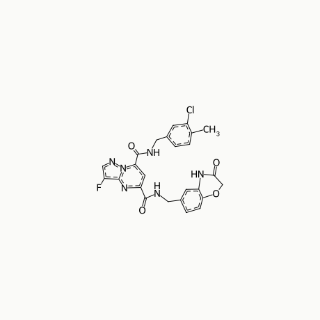 Cc1ccc(CNC(=O)c2cc(C(=O)NCc3ccc4c(c3)NC(=O)CO4)nc3c(F)cnn23)cc1Cl